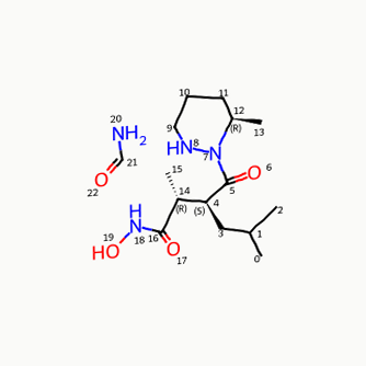 CC(C)C[C@H](C(=O)N1NCCC[C@H]1C)[C@@H](C)C(=O)NO.NC=O